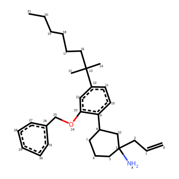 C=CCC1(N)CCCC(c2ccc(C(C)(C)CCCCCC)cc2OCc2ccccc2)C1